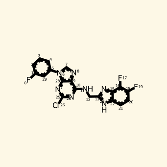 Fc1cccc(-n2cnc3c(NCc4nc5c(F)c(F)ccc5[nH]4)nc(Cl)nc32)c1